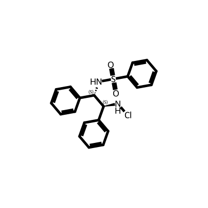 O=S(=O)(N[C@@H](c1ccccc1)[C@@H](NCl)c1ccccc1)c1ccccc1